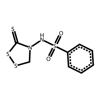 O=S(=O)(NN1CSSC1=S)c1ccccc1